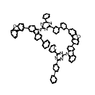 c1ccc(-c2ccc(-c3nc(-c4ccccc4)nc(-n4c5ccccc5c5cc(-c6ccc7oc8ccc(-c9cccc(-c%10cccc(-c%11nc(-c%12ccccc%12)nc(-n%12c%13ccc(-c%14ccc%15oc%16ccccc%16c%15c%14)cc%13c%13ccc(-c%14ccccc%14)cc%13%12)n%11)c%10)c9)cc8c7c6)ccc54)n3)cc2)cc1